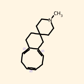 CN1CCC2(CCC3=C/C/C=C\C/C=C\3C2)CC1